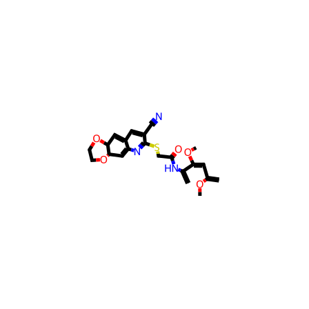 C=C(/C=C(/OC)C(=C)NC(=O)CSc1nc2c(cc1C#N)=CC1OCCOC1C=2)OC